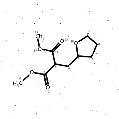 COC(=O)C(CC1CCCO1)C(=O)OC